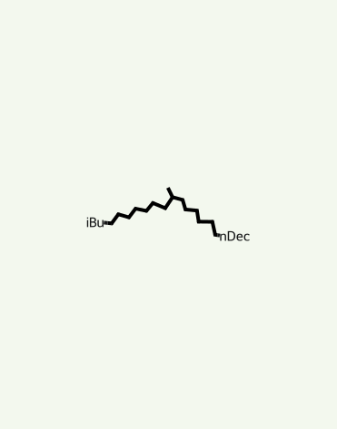 CCCCCCCCCCCCCCCCC(C)CCCCCCCC(C)CC